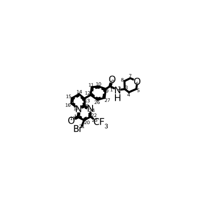 O=C(NC1CCOCC1)c1ccc(-c2cccn3c(=O)c(Br)c(C(F)(F)F)nc23)cc1